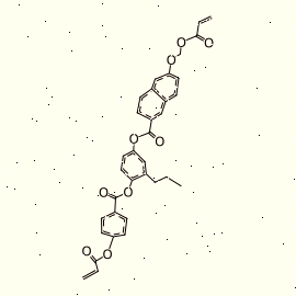 C=CC(=O)OCOc1ccc2cc(C(=O)Oc3ccc(OC(=O)c4ccc(OC(=O)C=C)cc4)c(CCC)c3)ccc2c1